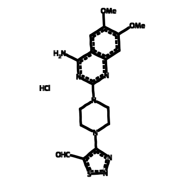 COc1cc2nc(N3CCN(c4nnsc4C=O)CC3)nc(N)c2cc1OC.Cl